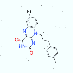 CCc1ccc2c(c1)nc1c(=O)[nH]c(=O)nc-1n2CCCc1ccc(C)cc1